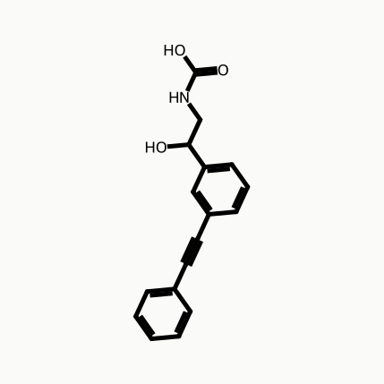 O=C(O)NCC(O)c1cccc(C#Cc2ccccc2)c1